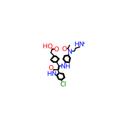 CNCCCN(C(C)=O)c1ccc(NC(=C2C(=O)Nc3cc(Cl)ccc32)c2ccc(CC(=O)O)cc2)cc1